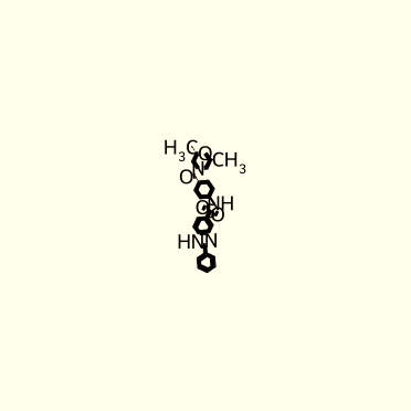 C[C@@H]1CN(C(=O)[C@H]2CC[C@H](NS(=O)(=O)c3ccc4[nH]c(-c5ccccc5)nc4c3)CC2)C[C@H](C)O1